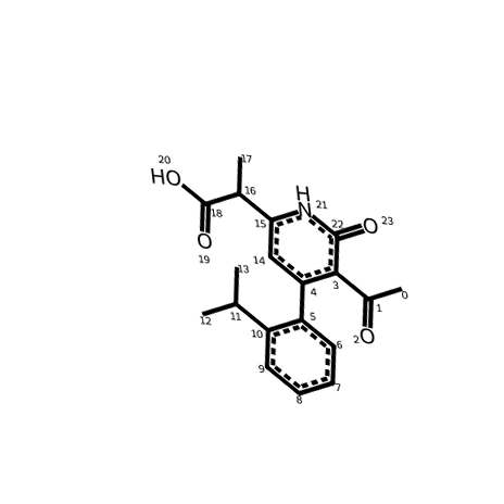 CC(=O)c1c(-c2ccccc2C(C)C)cc(C(C)C(=O)O)[nH]c1=O